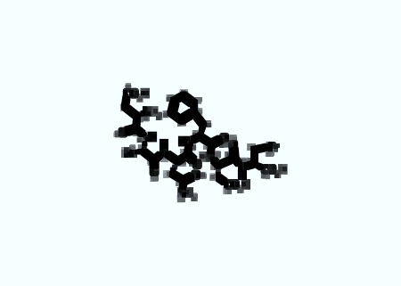 CC[C@H](C)[C@H](NC(=O)[C@@H](N)CC(=O)O)C(=O)N[C@@H](CC(N)=O)C(=O)N[C@@H](Cc1ccccc1)C(=O)N[C@@H](CC(=O)O)C(=O)N[C@@H](CC(C)C)C(=O)O